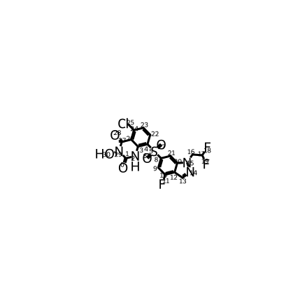 O=c1[nH]c2c(S(=O)(=O)c3cc(F)c4cnn(CC(F)F)c4c3)ccc(Cl)c2c(=O)n1O